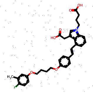 Cc1cc(OCCCCOc2ccc(/C=C/c3cccc4c3c(CC(=O)O)cn4CCCC(=O)O)cc2)ccc1F